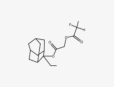 CCC1(OC(=O)COC(=O)C(C)(F)F)C2CC3CC(C2)CC1C3